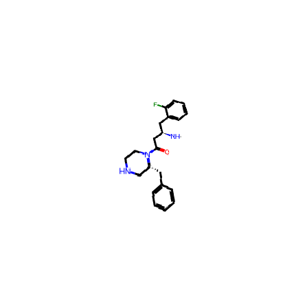 [NH][C@@H](CC(=O)N1CCNC[C@H]1Cc1ccccc1)Cc1ccccc1F